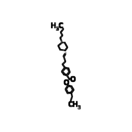 CCCCC[C@H]1CC[C@H](C=CCCc2ccc(C(=O)Oc3ccc(CCC)cc3)cc2)CC1